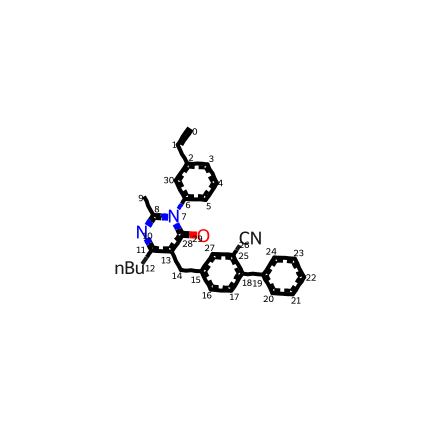 C=Cc1cccc(-n2c(C)nc(CCCC)c(Cc3ccc(-c4ccccc4)c(C#N)c3)c2=O)c1